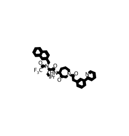 CC(C)C[C@@H](C(=O)NC1CCCN(C(=O)Cc2cccc(-c3ccccn3)c2)CC1=O)N(Cc1ccc2ccccc2c1)C(=O)C(F)(F)F